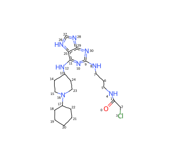 O=C(CCl)NCCCNc1nc(NC2CCN(C3CCCCC3)CC2)c2[nH]cnc2n1